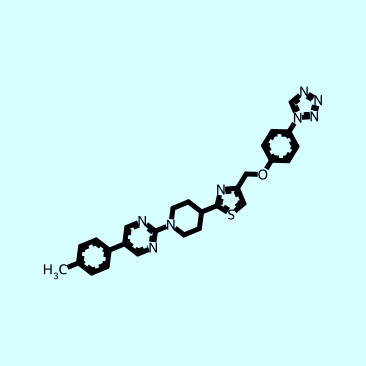 Cc1ccc(-c2cnc(N3CCC(c4nc(COc5ccc(-n6cnnn6)cc5)cs4)CC3)nc2)cc1